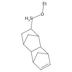 CCO[SiH2]C1CC2CC1C1C3C=CC(C3)C21